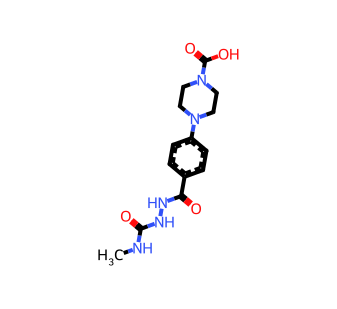 CNC(=O)NNC(=O)c1ccc(N2CCN(C(=O)O)CC2)cc1